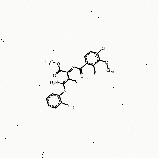 C=C(/N=C(C(=O)OC)\C(Cl)=C(/N)Nc1ccccc1N)c1ccc(Cl)c(OC)c1F